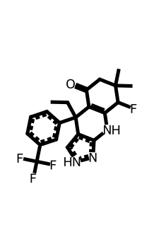 CCC1(c2cccc(C(F)(F)F)c2)C2=C(Nc3n[nH]cc31)C(F)C(C)(C)CC2=O